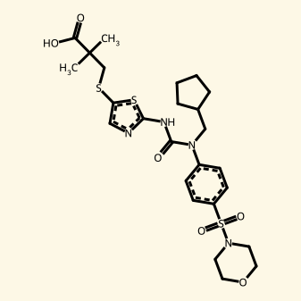 CC(C)(CSc1cnc(NC(=O)N(CC2CCCC2)c2ccc(S(=O)(=O)N3CCOCC3)cc2)s1)C(=O)O